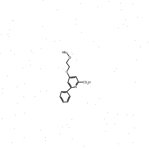 CCCCOCCOc1cc(C(=O)O)nc(-c2ccccc2)c1